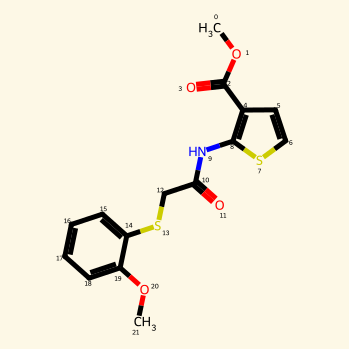 COC(=O)c1ccsc1NC(=O)CSc1ccccc1OC